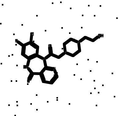 O=C(CN1CCN(CCO)CC1)N1c2cc(Cl)c(F)cc2NC(=S)c2cccnc21